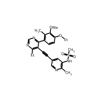 CCOc1ccc(-c2ncnc(CC)c2C#Cc2cnc(C)c(NS(C)(=O)=O)c2)c(C)c1OC